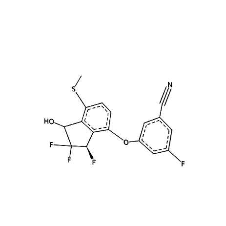 CSc1ccc(Oc2cc(F)cc(C#N)c2)c2c1C(O)C(F)(F)[C@@H]2F